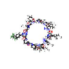 CC[C@H](C)[C@@H]1NC(=O)[C@H](CC(C)C)N(C)C(=O)C[C@@H](C)NC(=O)[C@H](C(C)C)N(C)C(=O)C2(CCCC2)NC(=O)[C@@H]2CCCN2C(=O)[C@H](CCc2ccc(C(F)(F)F)c(Cl)c2)NC(=O)CN(C)C(=O)[C@H](CC2CCCCC2)N(C)C(=O)CN(C)C(=O)CN(C(C)C)C1=O